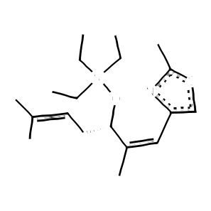 CC[Si](CC)(CC)O[C@@H](CC=C(C)I)C(C)=Cc1csc(C)n1